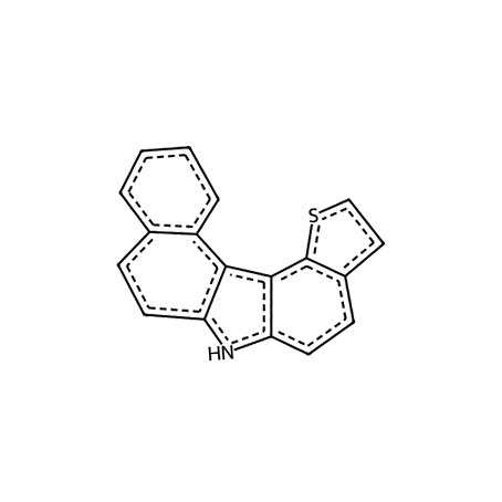 c1ccc2c(c1)ccc1[nH]c3ccc4ccsc4c3c12